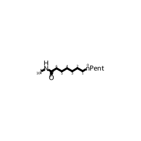 CCCCCCCCCCCC(=O)NI